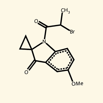 COc1ccc2c(c1)C(=O)C1(CC1)N2C(=O)C(C)Br